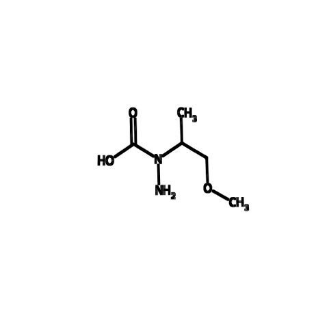 COCC(C)N(N)C(=O)O